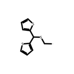 [CH2]CSC(c1cccs1)c1cccs1